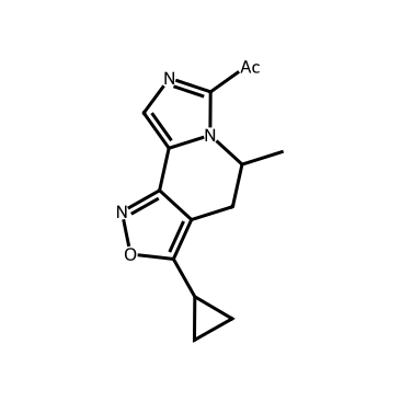 CC(=O)c1ncc2n1C(C)Cc1c-2noc1C1CC1